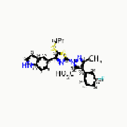 Cc1nn(-c2nc(-c3ccc4[nH]ccc4c3)c(SC(C)C)s2)c(C(=O)O)c1-c1cccc(F)c1